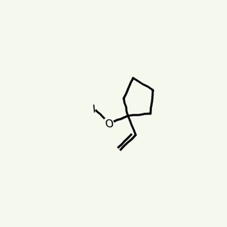 C=CC1(OI)CCCC1